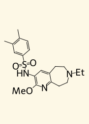 CCN1CCc2cc(NS(=O)(=O)c3ccc(C)c(C)c3)c(OC)nc2CC1